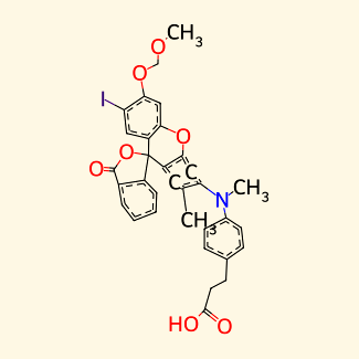 COCOc1cc2c(cc1I)C1(OC(=O)c3ccccc31)c1cc(C)c(N(C)c3ccc(CCC(=O)O)cc3)cc1O2